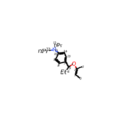 CC=C(C)OC(CC)c1ccc(N(CCC)CCC)cc1